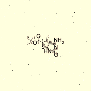 Cc1c(C(=O)OC(C)(C)C)sc2[nH]c(=O)nc(N)c12